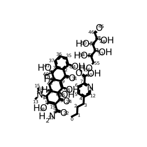 CCCCc1ccc(C(=O)O)nc1.CN(C)[C@@H]1C(O)=C(C(N)=O)C(=O)[C@@]2(O)C(O)=C3C(=O)c4c(O)cccc4[C@@](C)(O)[C@H]3C[C@@H]12.O=C[C@H](O)[C@@H](O)[C@@H](O)[C@H](O)CO